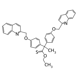 CCOC(=S)C(C)(c1ccc(OCc2ccc3ccccc3n2)cc1)c1ccc(OCc2ccc3ccccc3n2)cc1